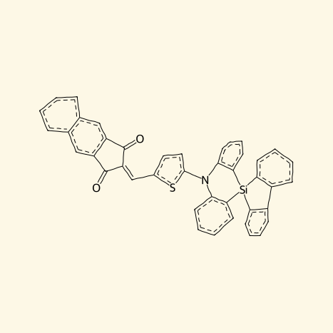 O=C1C(=Cc2ccc(N3c4ccccc4[Si]4(c5ccccc5-c5ccccc54)c4ccccc43)s2)C(=O)c2cc3ccccc3cc21